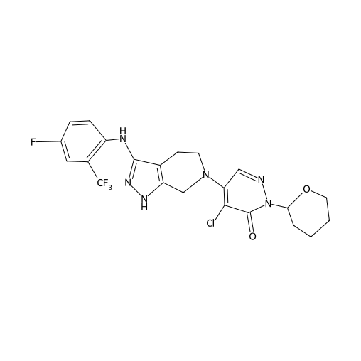 O=c1c(Cl)c(N2CCc3c(Nc4ccc(F)cc4C(F)(F)F)n[nH]c3C2)cnn1C1CCCCO1